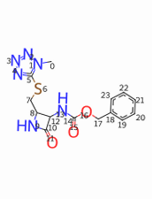 Cn1nnnc1SCC1NC(=O)C1NC(=O)OCc1ccccc1